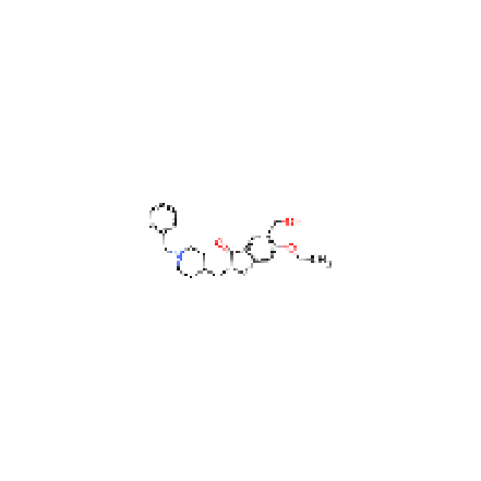 CCOc1cc2c(cc1CO)C(=O)C(CC1CCN(Cc3ccccc3)CC1)C2